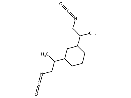 CC(CN=C=O)C1CCCC(C(C)CN=C=O)C1